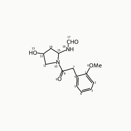 COc1ccccc1CC(=O)N1CC(O)CC1NC=O